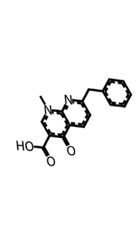 Cn1cc(C(=O)O)c(=O)c2ccc(Cc3ccccc3)nc21